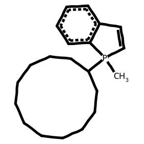 C[P]1(C2CCCCCCCCCCC2)C=Cc2ccccc21